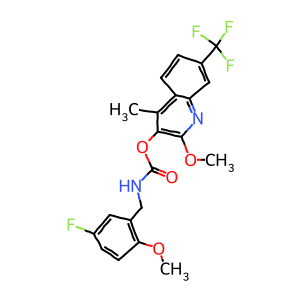 COc1ccc(F)cc1CNC(=O)Oc1c(OC)nc2cc(C(F)(F)F)ccc2c1C